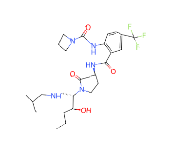 CCC[C@H](O)[C@H](CNCC(C)C)N1CC[C@H](NC(=O)c2cc(C(F)(F)F)ccc2NC(=O)N2CCC2)C1=O